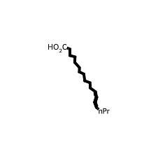 CCCC=C=C=CCCCCCCCCCCC(=O)O